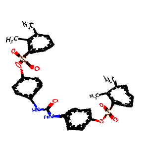 Cc1cccc(S(=O)(=O)Oc2ccc(NC(=O)Nc3ccc(OS(=O)(=O)c4cccc(C)c4C)cc3)cc2)c1C